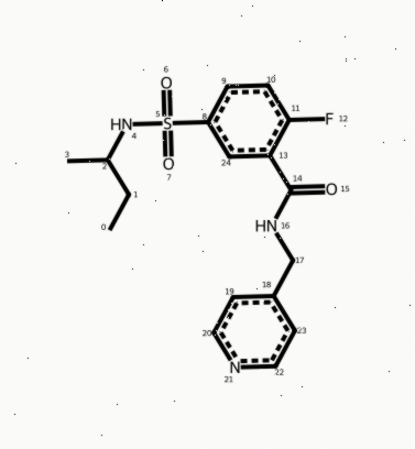 CCC(C)NS(=O)(=O)c1ccc(F)c(C(=O)NCc2ccncc2)c1